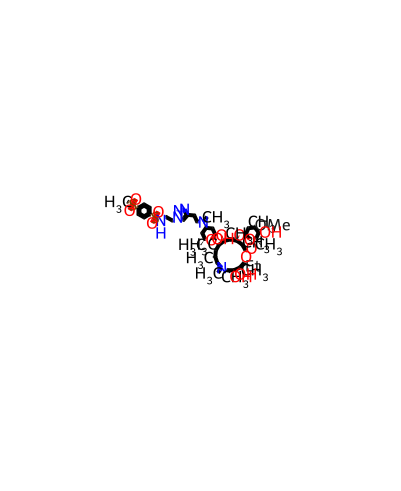 CC[C@H]1OC(=O)[C@H](C)[C@@H](O[C@H]2C[C@@](C)(OC)[C@@H](O)[C@H](C)O2)[C@H](C)[C@@H](O[C@H]2C[C@@H](N(C)CCc3cn(CCNS(=O)(=O)c4ccc(S(C)(=O)=O)cc4)nn3)C[C@@H](C)O2)[C@](C)(O)C[C@@H](C)CN(C)[C@H](C)[C@@H](O)[C@]1(C)O